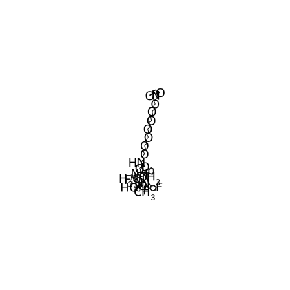 C[C@H](O)C(=O)N(C[C@@H]1CNC[C@@H]1F)[C@@H](c1nc(-c2cc(F)ccc2F)cn1Cc1ccccc1)C(C)(C)CCOC(=O)NCCOCCOCCOCCOCCOCCOCCOCCN1C(=O)C=CC1=O